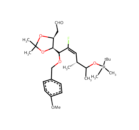 COc1ccc(COC(/C(F)=C\[C@@H](C)C(C)O[Si](C)(C)C(C)(C)C)[C@H]2OC(C)(C)O[C@H]2CC=O)cc1